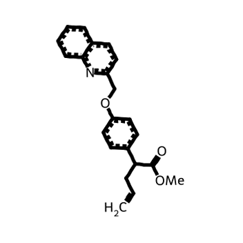 C=CCC(C(=O)OC)c1ccc(OCc2ccc3ccccc3n2)cc1